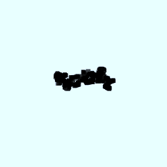 CCC(C)CNC(=O)c1ccc(N2CCN(C(=O)c3sccc3C)CC2)nc1